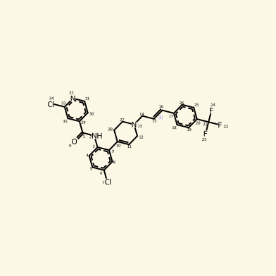 O=C(Nc1ccc(Cl)cc1C1=CCN(C/C=C/c2ccc(C(F)(F)F)cc2)CC1)c1ccnc(Cl)c1